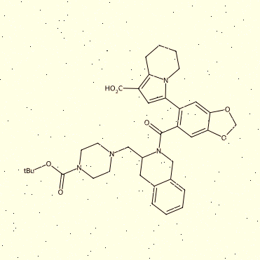 CC(C)(C)OC(=O)N1CCN(CC2Cc3ccccc3CN2C(=O)c2cc3c(cc2-c2cc(C(=O)O)c4n2CCCC4)OCO3)CC1